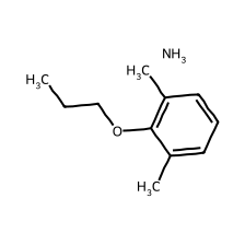 CCCOc1c(C)cccc1C.N